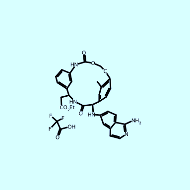 CCOC(=O)CC1NC(=O)C(Nc2ccc3c(N)nccc3c2)c2ccc(c(C)c2)CCOC(=O)Nc2cccc1c2.O=C(O)C(F)(F)F